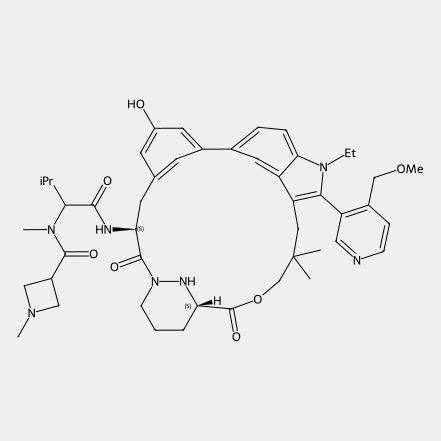 CCn1c(-c2cnccc2COC)c2c3cc(ccc31)-c1cc(O)cc(c1)C[C@H](NC(=O)C(C(C)C)N(C)C(=O)C1CN(C)C1)C(=O)N1CCC[C@H](N1)C(=O)OCC(C)(C)C2